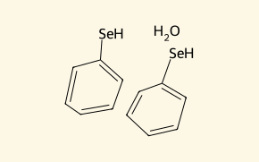 O.[SeH]c1ccccc1.[SeH]c1ccccc1